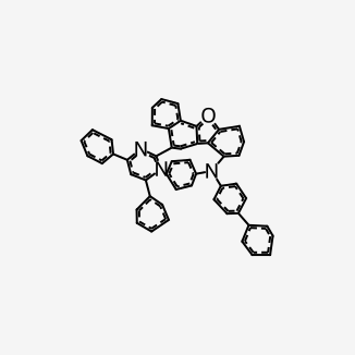 c1ccc(-c2ccc(N(c3ccccc3)c3cccc4oc5c6ccccc6c(-c6nc(-c7ccccc7)cc(-c7ccccc7)n6)cc5c34)cc2)cc1